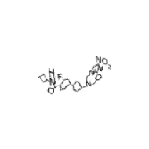 O=C(NC1CCC1)c1ccc(-c2ccc(CN3CCOc4nc([N+](=O)[O-])cn4CC3)cc2)cc1F